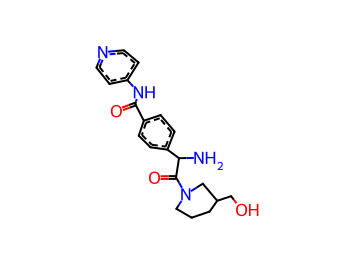 NC(C(=O)N1CCCC(CO)C1)c1ccc(C(=O)Nc2ccncc2)cc1